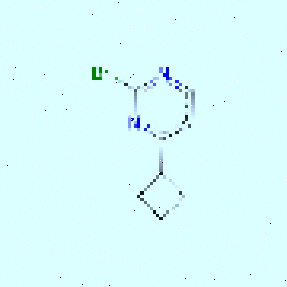 Brc1nccc(C2CCC2)n1